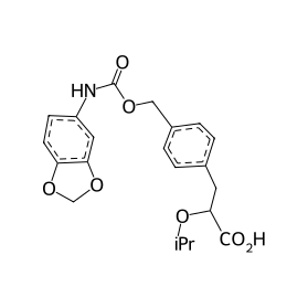 CC(C)OC(Cc1ccc(COC(=O)Nc2ccc3c(c2)OCO3)cc1)C(=O)O